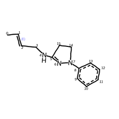 C/C=C/CNC1=NN(c2ccccc2)CC1